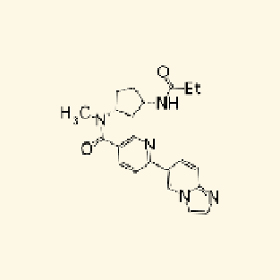 CCC(=O)N[C@H]1CC[C@@H](N(C)C(=O)c2ccc(-c3ccc4nccn4c3)nc2)C1